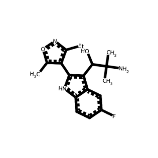 CCc1noc(C)c1-c1[nH]c2ccc(F)cc2c1C(O)C(C)(C)N